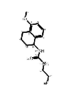 COc1cccc2c1CCCC2NC(=O)NCCF